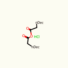 CCCCCCCCCCCC(=O)OC(=O)CCCCCCCCCCC.Cl